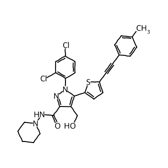 Cc1ccc(C#Cc2ccc(-c3c(CO)c(C(=O)NN4CCCCC4)nn3-c3ccc(Cl)cc3Cl)s2)cc1